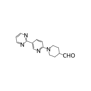 O=CC1CCN(c2ccc(-c3ncccn3)cn2)CC1